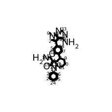 Cn1cc(-c2ccc(C3CCCn4c3c(C(N)=O)c(=O)n4-c3ccccc3)cc2)c2c(N)ncnc21